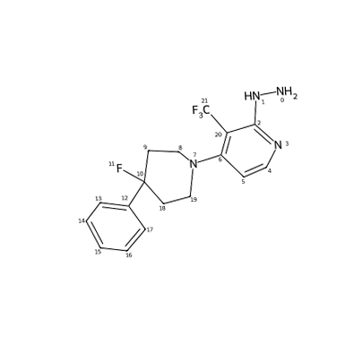 NNc1nccc(N2CCC(F)(c3ccccc3)CC2)c1C(F)(F)F